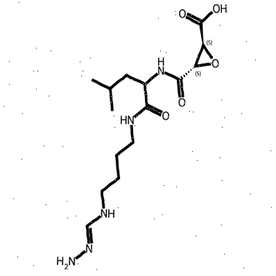 CC(C)CC(NC(=O)[C@H]1O[C@@H]1C(=O)O)C(=O)NCCCCNC=NN